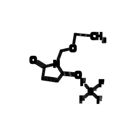 CCOCN1C(=O)C=CC1=O.F[B-](F)(F)F